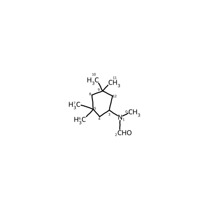 CN(C=O)C1CC(C)(C)CC(C)(C)C1